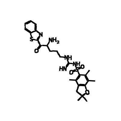 Cc1c(C)c(S(=O)(=O)NC(=N)NCCCC(N)C(=O)c2nc3ccccc3s2)c(C)c2c1OC(C)(C)C2